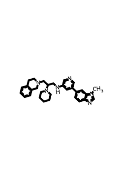 Cn1cnc2ccc(-c3cncc(NCC(CN4CCc5ccccc5C4)N4CCCCC4)c3)cc21